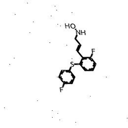 ONC/C=C/c1c(F)cccc1Sc1ccc(F)cc1